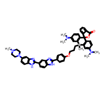 CN1CCN(c2ccc3[nH]c(-c4ccc5[nH]c(-c6ccc(OCCC[Si]7(C)c8cc(N(C)C)ccc8C8(OC(=O)c9ccccc98)c8ccc(N(C)C)cc87)cc6)nc5c4)nc3c2)CC1